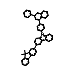 CC1(C)c2ccccc2-c2ccc(-c3ccc4c(c3)c3ccccc3n4-c3ccc(-c4cc(-c5ccccc5)cc5ccccc45)cc3)cc21